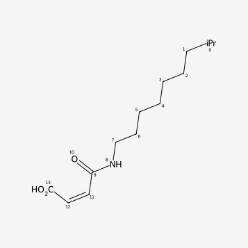 CC(C)CCCCCCCNC(=O)/C=C\C(=O)O